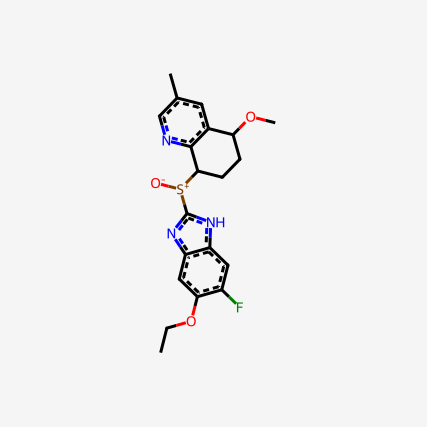 CCOc1cc2nc([S+]([O-])C3CCC(OC)c4cc(C)cnc43)[nH]c2cc1F